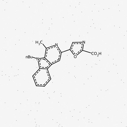 CCCCn1c2ccccc2c2cc(-c3cnc(C(=O)O)o3)nc(C)c21